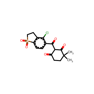 CC1(C)CCC(=O)C(C(=O)c2ccc3c(c2Cl)CCS3(=O)=O)C1=O